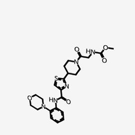 COC(=O)NCC(=O)N1CCC(c2nc(C(=O)Nc3ccccc3N3CCOCC3)cs2)CC1